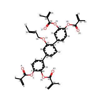 C=C(C)C(=O)Oc1ccc(-c2ccc(-c3ccc(OC(=O)C(=C)C)c(OC(=O)C(=C)C)c3)c(OC/C=C/C)c2)cc1OC(=O)C(=C)C